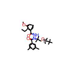 CCc1c(OC)cccc1C(=O)NN(C(=O)c1cc(C)cc(C)c1)C(C)(C)CO[Si](C)(C)C(C)(C)C